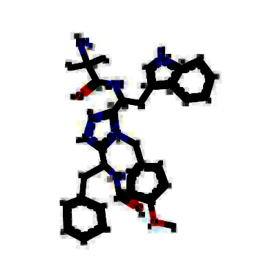 COc1ccc(Cn2c(C(Cc3ccccc3)NC=O)nnc2C(Cc2c[nH]c3ccccc23)NC(=O)C(C)(C)N)cc1